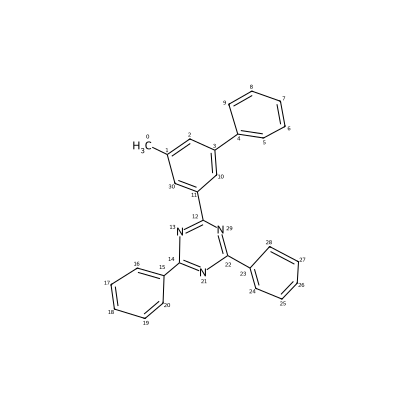 Cc1cc(-c2ccccc2)cc(-c2nc(-c3ccccc3)nc(-c3ccccc3)n2)c1